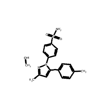 CO.Cc1ccc(-c2cc(C(F)(F)F)nn2-c2ccc(S(N)(=O)=O)cc2)cc1